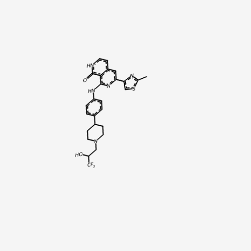 Cc1nc(-c2cc3cc[nH]c(=O)c3c(Nc3ccc(C4CCN(CC(O)C(F)(F)F)CC4)cc3)n2)cs1